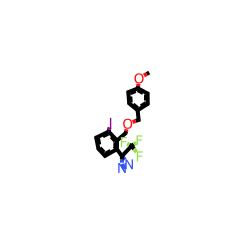 COc1ccc(COCc2c(I)cccc2C2(C(F)(F)F)N=N2)cc1